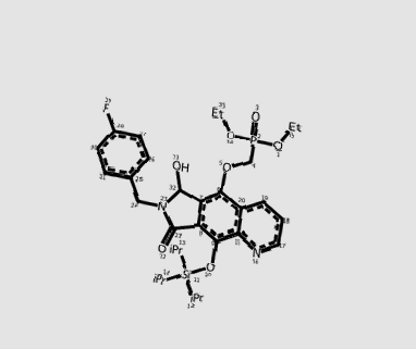 CCOP(=O)(COc1c2c(c(O[Si](C(C)C)(C(C)C)C(C)C)c3ncccc13)C(=O)N(Cc1ccc(F)cc1)C2O)OCC